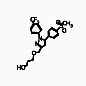 CS(=O)(=O)c1ccc(-c2cc(COCCCO)nn2-c2ccc(C(F)(F)F)cc2)cc1